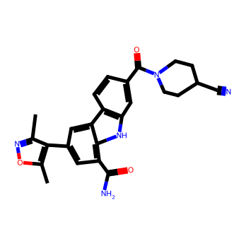 Cc1noc(C)c1-c1cc(C(N)=O)c2[nH]c3cc(C(=O)N4CCC(C#N)CC4)ccc3c2c1